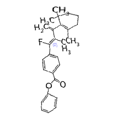 C=C(C1=C(C)CCCC1(C)C)/C(C)=C(\F)c1ccc(C(=O)Oc2ccccc2)cc1